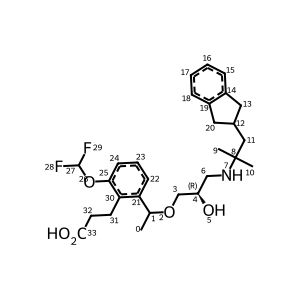 CC(OC[C@H](O)CNC(C)(C)CC1Cc2ccccc2C1)c1cccc(OC(F)F)c1CCC(=O)O